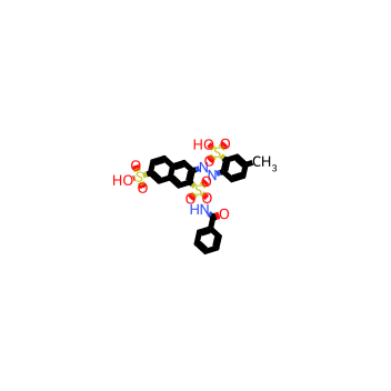 Cc1ccc(N=Nc2cc3ccc(S(=O)(=O)O)cc3cc2S(=O)(=O)ONC(=O)c2ccccc2)c(S(=O)(=O)O)c1